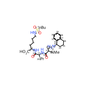 CCCCS(=O)(=O)NCCCCC(NC(=O)C(NC(=O)C(C)NC)C(C)C)C(=O)O.NC1CCCc2ccccc21